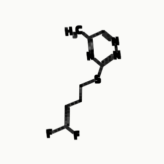 Cc1cnnc(SCCC=C(F)F)n1